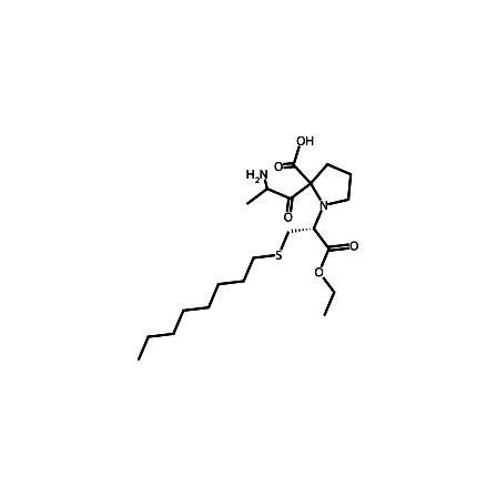 CCCCCCCCSC[C@@H](C(=O)OCC)N1CCCC1(C(=O)O)C(=O)C(C)N